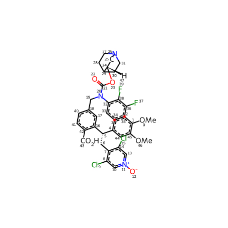 COc1ccc([C@H](Cc2c(Cl)c[n+]([O-])cc2Cl)c2cc(CN(C(=O)O[C@H]3CN4CCC3CC4)c3cccc(F)c3F)ccc2C(=O)O)cc1OC